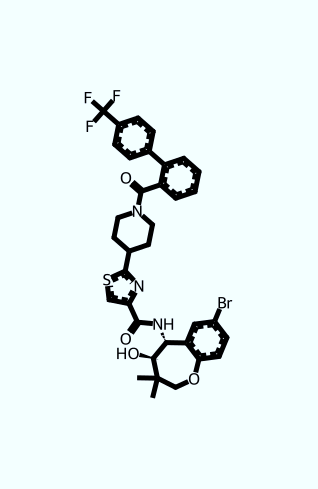 CC1(C)COc2ccc(Br)cc2[C@@H](NC(=O)c2csc(C3CCN(C(=O)c4ccccc4-c4ccc(C(F)(F)F)cc4)CC3)n2)[C@@H]1O